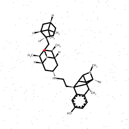 C[C@@H]1C[C@H](C)[C@H]2C[C@@H](NCC[C@@]34c5cc(O)ccc5CC56C(C53)N(C)[C@H]6[C@@H]4C)C[C@@H]1N2CC[C@@H]1CC[C@H]2C[C@@H]1C2(C)C